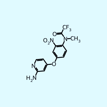 CN(C(=O)C(F)(F)F)c1ccc(Oc2ccnc(N)c2)cc1[N+](=O)[O-]